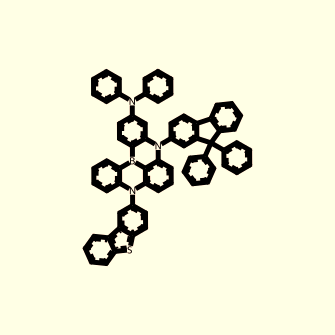 c1ccc(N(c2ccccc2)c2ccc3c(c2)N(c2ccc4c(c2)C(c2ccccc2)(c2ccccc2)c2ccccc2-4)c2cccc4c2B3c2ccccc2N4c2ccc3sc4ccccc4c3c2)cc1